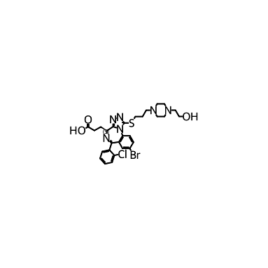 O=C(O)CC[C@@H]1N=C(c2ccccc2Cl)c2cc(Br)ccc2-n2c(SCCCN3CCN(CCO)CC3)nnc21